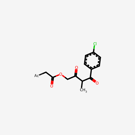 CC(=O)CC(=O)OCC(=O)C(C)C(=O)c1ccc(Cl)cc1